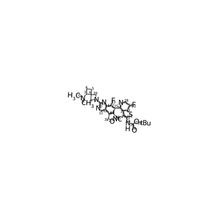 CN(C)C1CCC12CN(c1ncc3c4c(c(-c5ncc(F)c6sc(NC(=O)OC(C)(C)C)c(C#N)c56)c(F)c3n1)COC4)C2